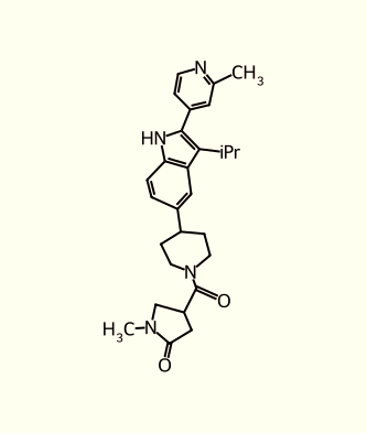 Cc1cc(-c2[nH]c3ccc(C4CCN(C(=O)C5CC(=O)N(C)C5)CC4)cc3c2C(C)C)ccn1